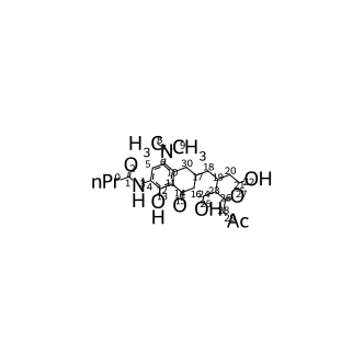 CCCC(=O)Nc1cc(N(C)C)c2c(c1O)C(=O)CC(CC(CCO)C(CO)C(=O)CC(C)=O)C2